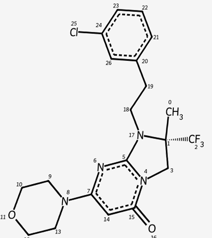 C[C@@]1(C(F)(F)F)Cn2c(nc(N3CCOCC3)cc2=O)N1CCc1cccc(Cl)c1